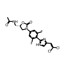 CC(=O)NC[C@H]1CN(c2cc(F)c(-c3nc(C=C(Cl)Cl)c[nH]3)c(F)c2)C(=O)O1